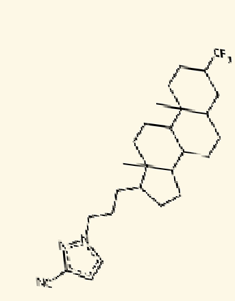 CC12CCC3C(CCC4CC(C(F)(F)F)CCC43C)C1CCC2CCCn1ccc(C#N)n1